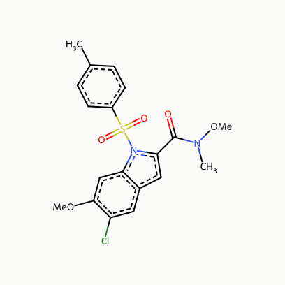 COc1cc2c(cc1Cl)cc(C(=O)N(C)OC)n2S(=O)(=O)c1ccc(C)cc1